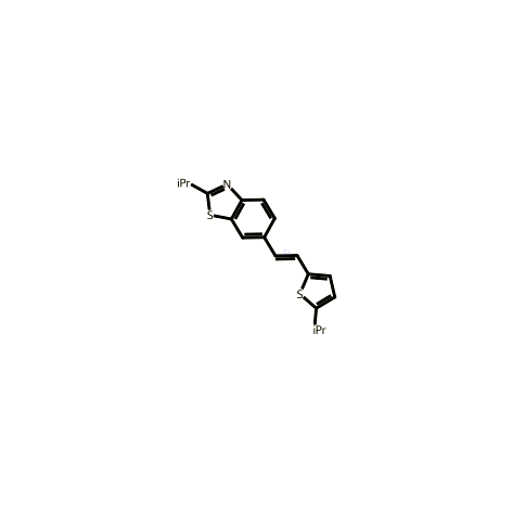 CC(C)c1ccc(/C=C/c2ccc3nc(C(C)C)sc3c2)s1